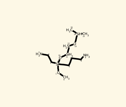 CO[Si](CCN)(CCCN)O[SiH2][SiH2]O[SiH](C)C